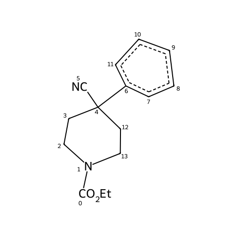 CCOC(=O)N1CCC(C#N)(c2ccccc2)CC1